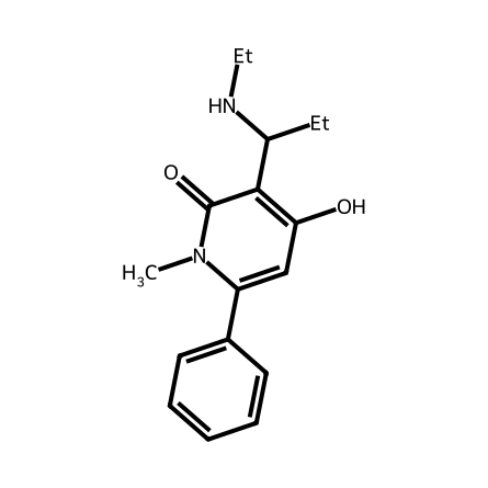 CCNC(CC)c1c(O)cc(-c2ccccc2)n(C)c1=O